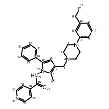 Cc1c(CN2CCN(c3cccc(CF)c3)CC2)cc(-c2ccccc2)n1NC(=O)c1ccncc1